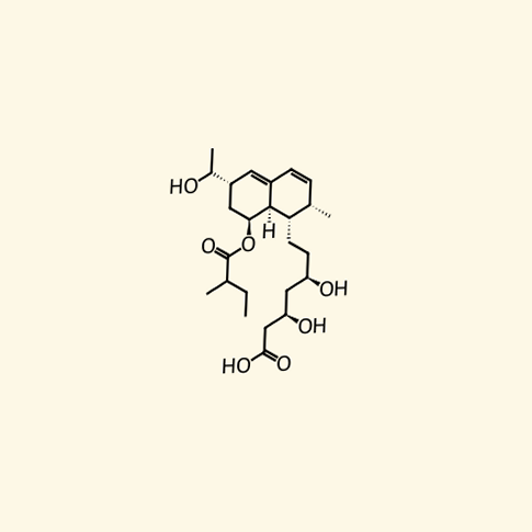 CCC(C)C(=O)O[C@H]1C[C@H](C(C)O)C=C2C=C[C@H](C)[C@H](CC[C@@H](O)C[C@@H](O)CC(=O)O)[C@H]21